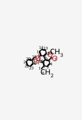 C=Cc1ccc(C(=O)OC)c(-c2ccccc2OCc2ccccc2)c1Br